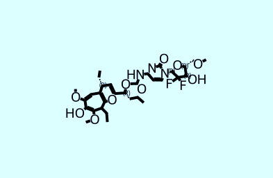 CCC[C@@H](OC(=O)Nc1ccn([C@@H]2O[C@H](COC)[C@@H](O)C2(F)F)c(=O)n1)C1=C[C@@H](CC)C2=C(O1)C(CC)C(OC)=C(O)C(OC)=C2